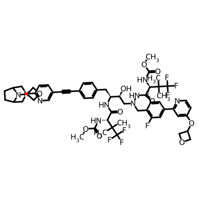 COC(=O)N[C@H](C(=O)N[C@@H](Cc1ccc(C#Cc2ccc(N3CC4CCC(C3)N4C3COC3)nc2)cc1)[C@@H](O)CN(Cc1c(F)cc(-c2cc(OC3COC3)ccn2)cc1F)NC(=O)[C@@H](NC(=O)OC)C(C)(C)C(F)(F)F)C(C)(C)C(F)(F)F